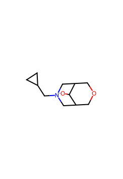 [O]C1C2COCC1CN(CC1CC1)C2